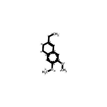 [CH2]CC1=Cc2cc(OC)c(OC)cc2CC1